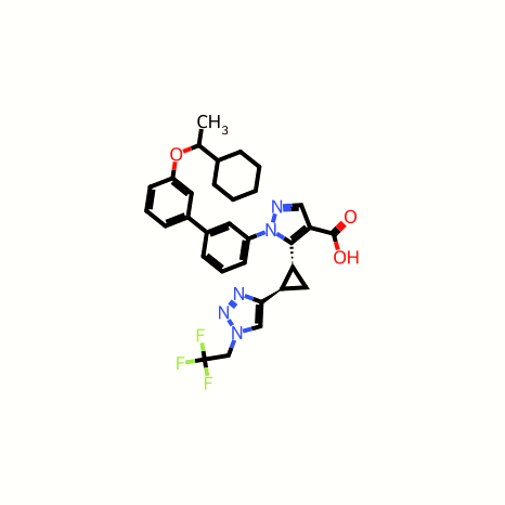 CC(Oc1cccc(-c2cccc(-n3ncc(C(=O)O)c3[C@@H]3C[C@H]3c3cn(CC(F)(F)F)nn3)c2)c1)C1CCCCC1